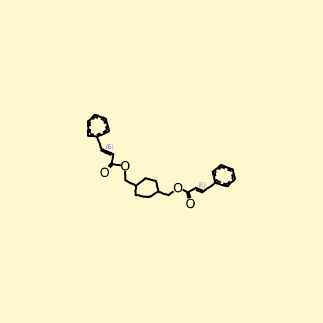 O=C(/C=C/c1ccccc1)OCC1CCC(COC(=O)/C=C/c2ccccc2)CC1